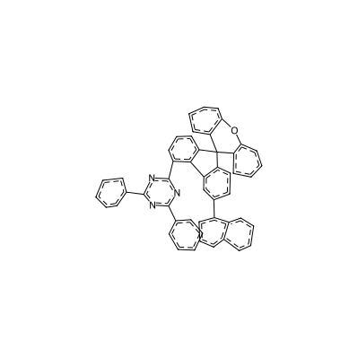 c1ccc(-c2nc(-c3ccccc3)nc(-c3cccc4c3-c3cc(-c5cccc6ccccc56)ccc3C43c4ccccc4Oc4ccccc43)n2)cc1